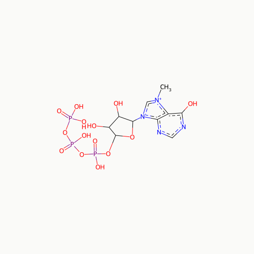 C[n+]1cn(C2OC(OP(=O)(O)OP(=O)(O)OP(=O)(O)O)C(O)C2O)c2ncnc(O)c21